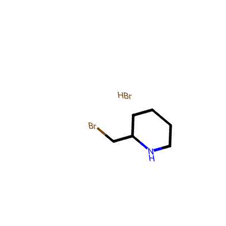 Br.BrCC1CCCCN1